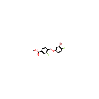 COC(=O)c1ccc(COc2ccc(F)c(Br)c2)c(F)c1